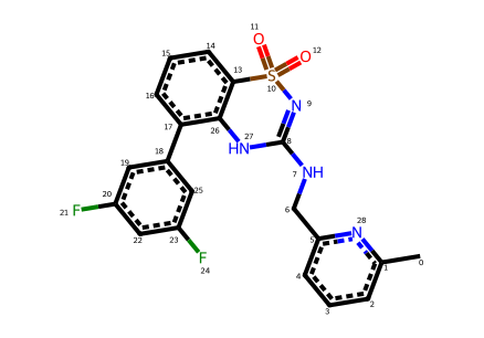 Cc1cccc(CNC2=NS(=O)(=O)c3cccc(-c4cc(F)cc(F)c4)c3N2)n1